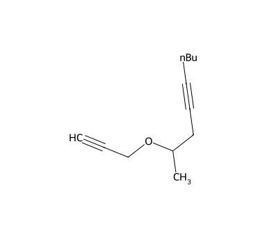 C#CCOC(C)CC#CCCCC